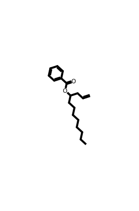 C=CCC(CCCCCCCC)OC(=O)c1ccccc1